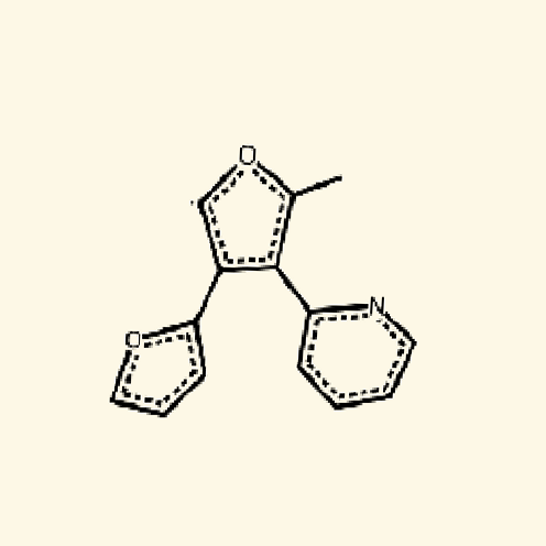 Cc1o[c]c(-c2ccco2)c1-c1ccccn1